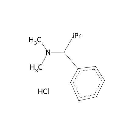 CC(C)C(c1ccccc1)N(C)C.Cl